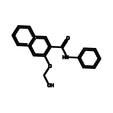 O=C(Nc1ccccc1)c1cc2ccccc2cc1OCO